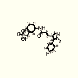 Cn1ncc(C=CC(=O)Nc2cccc(CP(=O)(O)O)c2)c1-c1ccc(F)cc1